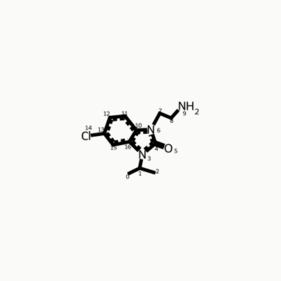 CC(C)n1c(=O)n(CCN)c2ccc(Cl)cc21